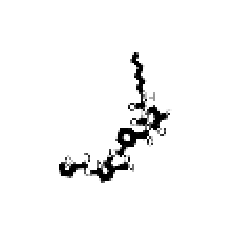 CCCCCCNC(=O)n1cc(F)c(=O)n(C(=O)c2cccc(C(=O)Oc3nc(OC(=O)c4ccco4)ccc3C#N)c2)c1=O